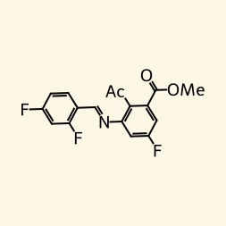 COC(=O)c1cc(F)cc(N=Cc2ccc(F)cc2F)c1C(C)=O